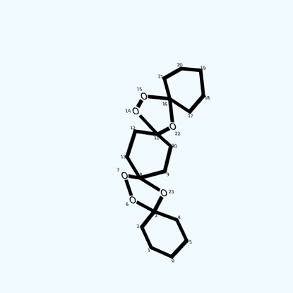 C1CCC2(CC1)OOC1(CCC3(CC1)OOC1(CCCCC1)O3)O2